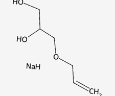 C=CCOCC(O)CO.[NaH]